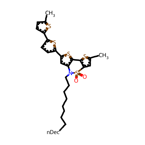 CCCCCCCCCCCCCCCCCCN1c2cc(-c3ccc(-c4ccc(C)s4)s3)sc2-c2sc(C)cc2S1(=O)=O